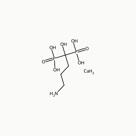 NCCCC(O)(P(=O)(O)O)P(=O)(O)O.[CaH2]